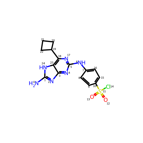 Nc1nc2nc(Nc3ccc(S(=O)(=O)Cl)cc3)nc(C3CCC3)c2[nH]1